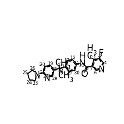 Cc1c(F)cncc1C(=O)Nc1ccc(C(C)(C)c2ccc(N3CCCC3)nc2)cc1